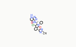 C[C@H](Nc1ncnc2[nH]ccc(=O)c12)c1c(Cl)c2cccc(-c3cnc(CC#N)nc3)c2c(=O)n1-c1ccccc1